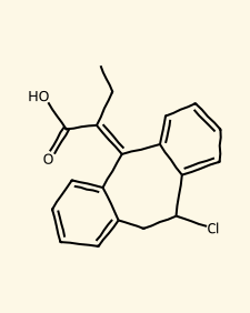 CCC(C(=O)O)=C1c2ccccc2CC(Cl)c2ccccc21